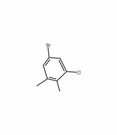 Cc1cc(Br)cc(Cl)c1C